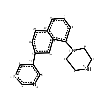 c1cc(N2CCNCC2)c2cc(-c3cncnc3)ccc2c1